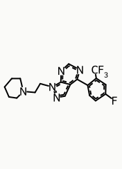 Fc1ccc(-c2ncnc3c2cnn3CCN2CCCCC2)c(C(F)(F)F)c1